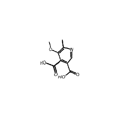 COc1c(C)ncc(C(=O)O)c1C(=O)O